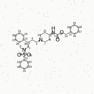 CN(C[C@H](CCN1CCC(NC(=O)OCc2ccccc2)CC1)c1ccccc1)S(=O)(=O)c1ccccc1